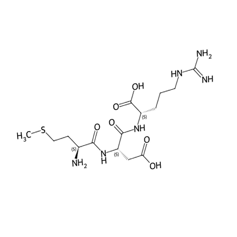 CSCC[C@H](N)C(=O)N[C@@H](CC(=O)O)C(=O)N[C@@H](CCCNC(=N)N)C(=O)O